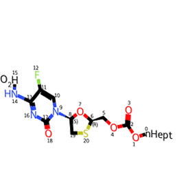 CCCCCCCOC(=O)OC[C@@H]1O[C@H](n2cc(F)c(NC(=O)O)nc2=O)CS1